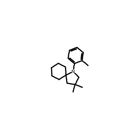 Cc1ccccc1N1CC(C)(C)CC12CCCCC2